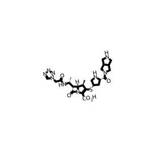 C[C@@H](NC(=O)Cn1cnnn1)[C@H]1C(=O)N2C(C(=O)O)=C(S[C@@H]3CN[C@H](C(=O)N4CC5CNCC5C4)C3)[C@H](C)[C@H]12